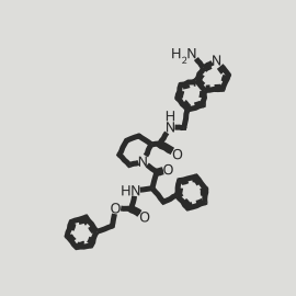 Nc1nccc2cc(CNC(=O)C3CCCCN3C(=O)C(Cc3ccccc3)NC(=O)OCc3ccccc3)ccc12